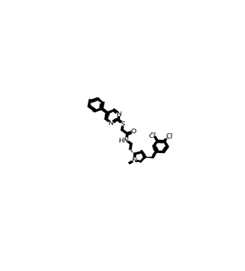 CN1C[C@H](Cc2ccc(Cl)c(Cl)c2)C[C@H]1CCNC(=O)CSc1ncc(-c2ccccc2)cn1